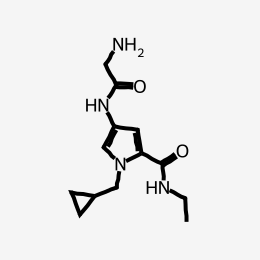 CCNC(=O)c1cc(NC(=O)CN)cn1CC1CC1